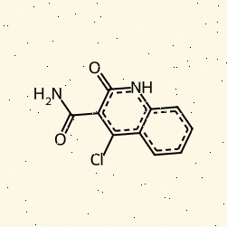 NC(=O)c1c(Cl)c2ccccc2[nH]c1=O